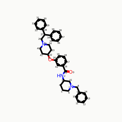 O=C(NC1CCCN(Cc2ccccc2)C1)c1cccc(OC2CCN(CC(c3ccccc3)c3ccccc3)CC2)c1